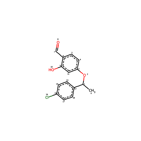 CC(Oc1ccc(C=O)c(O)c1)c1ccc(Cl)cc1